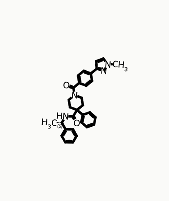 C[C@H](NC(=O)C1(c2ccccc2)CCN(C(=O)c2ccc(-c3ccn(C)n3)cc2)CC1)c1ccccc1